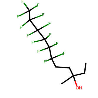 CCC(C)(O)CCC(F)(F)C(F)(F)C(F)(F)C(F)(F)C(F)(F)C(F)(F)F